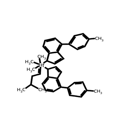 Cc1ccc(-c2cccc3c2C=C[CH]3[Hf]([CH3])([CH3])([CH3])(=[CH]CC(C)C)[CH]2C=Cc3c(-c4ccc(C)cc4)cccc32)cc1